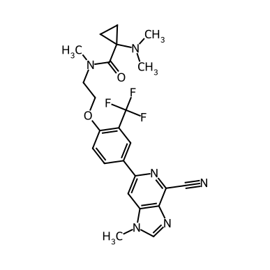 CN(CCOc1ccc(-c2cc3c(ncn3C)c(C#N)n2)cc1C(F)(F)F)C(=O)C1(N(C)C)CC1